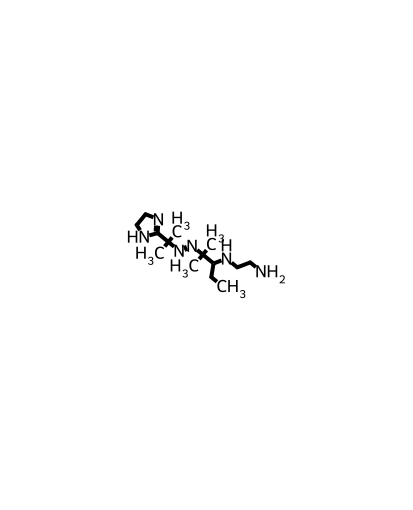 CCC(NCCN)C(C)(C)N=NC(C)(C)C1=NCCN1